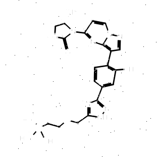 Cc1cc(-c2n[nH]c(COCC[Si](C)(C)C)n2)ccc1-c1cnn2ccc(N3C(=O)OC[C@@H]3C(C)C)nc12